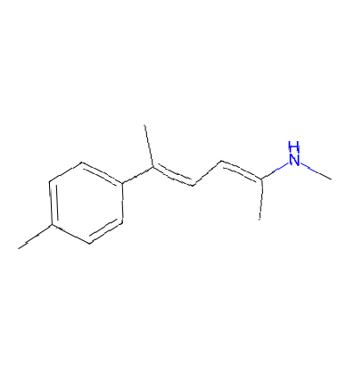 CN/C(C)=C/C=C(\C)c1ccc(C)cc1